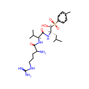 Cc1ccc(S(=O)(=O)[C@H](O)[C@H](CC(C)C)NC(=O)[C@@H](NC(=O)C(N)CCCNC(=N)N)C(C)C)cc1